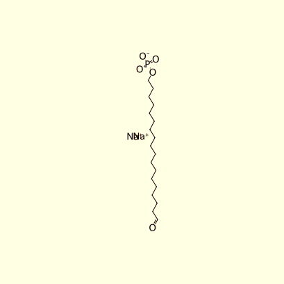 O=CCCCCCCCCCCCCCCCCCOP(=O)([O-])[O-].[Na+].[Na+]